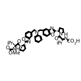 COC(=O)N[C@H](C(=O)N1CCC[C@H]1c1nc2cc(CN(Cc3ccc4oc([C@@H]5CCCN5C(=O)[C@@H](NC(=O)O)C(C)C)nc4c3)c3ccccc3)ccc2o1)C(C)C